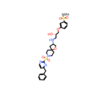 CNS(=O)(=O)c1cccc(OC[C@@H](O)CN[C@H]2COC3(CCN(S(=O)(=O)c4nccc(Cc5ccccc5)n4)CC3)C2)c1